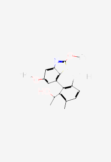 Cc1ccc(S(=O)(=O)O)c(-c2cc(OC(C)(C)C)cc3nc(OC(C)C)sc23)c1C(C)O